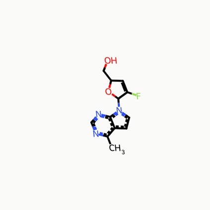 Cc1ncnc2c1ccn2C1OC(CO)C=C1F